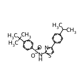 CC(C)c1ccc(-c2csc(NS(=O)(=O)c3ccc(C(C)(C)C)cc3)n2)cc1